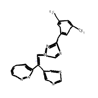 FC(F)(F)c1cc(-c2ncn(/C=C(\c3cncnc3)c3cccnn3)n2)cc(C(F)(F)F)c1